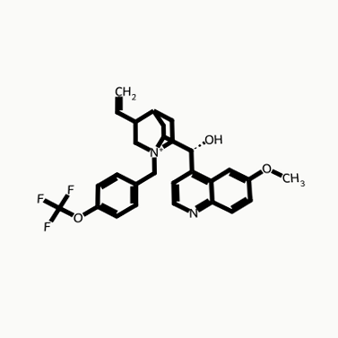 C=CC1C[N+]2(Cc3ccc(OC(F)(F)F)cc3)CCC1CC2[C@H](O)c1ccnc2ccc(OC)cc12